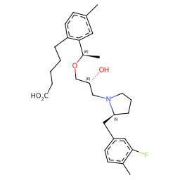 Cc1ccc(CCCCC(=O)O)c([C@@H](C)OC[C@H](O)CN2CCC[C@H]2Cc2ccc(C)c(F)c2)c1